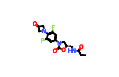 CCC(=O)NC[C@H]1CN(c2cc(F)c(N3CC(=O)C3)c(F)c2)C(=O)O1